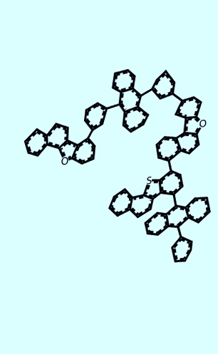 c1ccc(-c2c3ccccc3c(-c3ccc(-c4cccc5c4ccc4oc6ccc(-c7cccc(-c8c9ccccc9c(-c9cccc(-c%10cccc%11oc%12c%13ccccc%13ccc%12c%10%11)c9)c9ccccc89)c7)cc6c45)c4sc5c6ccccc6ccc5c34)c3ccccc23)cc1